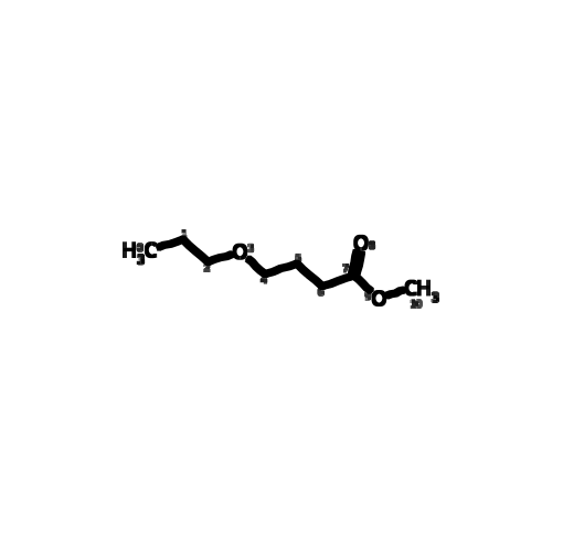 CCCOCCCC(=O)OC